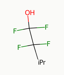 CC(C)C(F)(F)C(O)(F)F